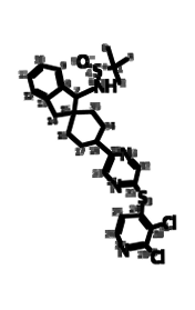 CC(C)(C)[S@@+]([O-])NC1c2ccccc2CC12CCC(c1cnc(Sc3ccnc(Cl)c3Cl)cn1)CC2